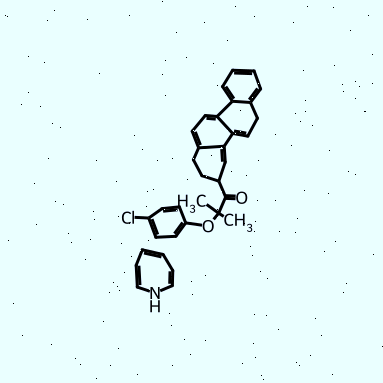 C1=CC=CNC=C1.CC(C)(Oc1ccc(Cl)cc1)C(=O)C1C=c2c(ccc3c2=CCc2ccccc2-3)CC1